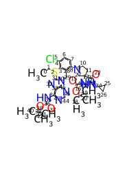 CCSc1c(Cl)ccc(N2CCC(NC(=O)OC(C)(C)C)(C(=O)NC3CC3)C2)c1Cn1cnc2c(NC(=O)OC(C)(C)C)ncnc21